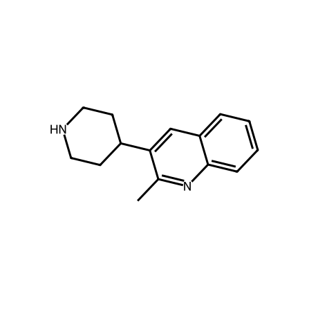 Cc1nc2ccccc2cc1C1CCNCC1